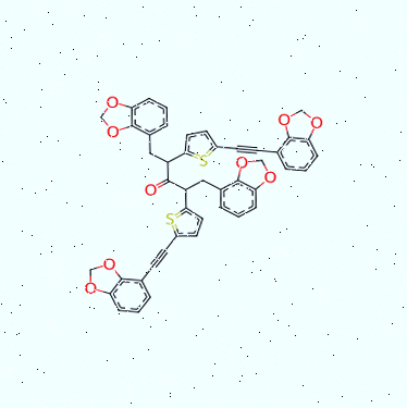 O=C(C(Cc1cccc2c1OCO2)c1ccc(C#Cc2cccc3c2OCO3)s1)C(Cc1cccc2c1OCO2)c1ccc(C#Cc2cccc3c2OCO3)s1